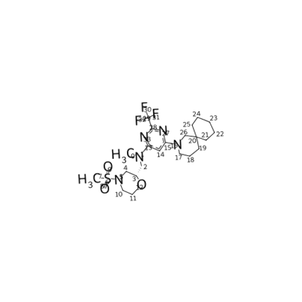 CN(C[C@H]1CN(S(C)(=O)=O)CCO1)c1cc(N2CCCC3(CCCCC3)C2)nc(C(F)(F)F)n1